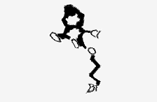 O=c1oc(OCCCCBr)c(Cl)c2ccccc12